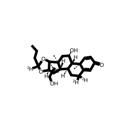 [2H]C1(CCC)O[C@@H]2C[C@H]3[C@@H]4CC([2H])([2H])C5=CC(=O)C=C[C@]5(C)[C@H]4[C@@H](O)C[C@]3(C)[C@]2(C(=O)CO)O1